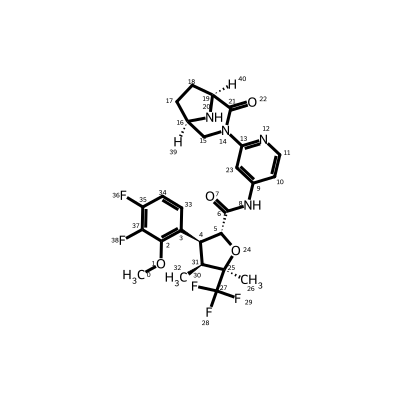 COc1c([C@H]2[C@H](C(=O)Nc3ccnc(N4C[C@H]5CC[C@H](N5)C4=O)c3)O[C@@](C)(C(F)(F)F)[C@H]2C)ccc(F)c1F